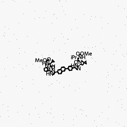 COC(=O)N[C@H](C(=O)N1CC2(CC2)C[C@H]1c1ncc(-c2ccc(-c3ccc4cc(-c5cnc(C6[C@H]7CC[C@H](C7)N6C(=O)[C@@H](NC(=O)OC)C6CC6)[nH]5)ccc4c3)cc2)[nH]1)C(C)C